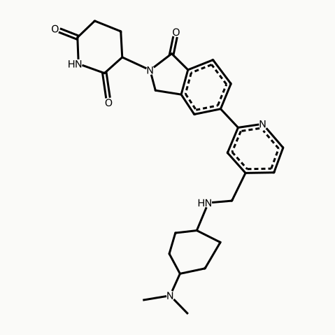 CN(C)C1CCC(NCc2ccnc(-c3ccc4c(c3)CN(C3CCC(=O)NC3=O)C4=O)c2)CC1